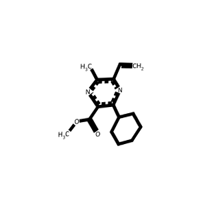 C=Cc1nc(C2CCCCC2)c(C(=O)OC)nc1C